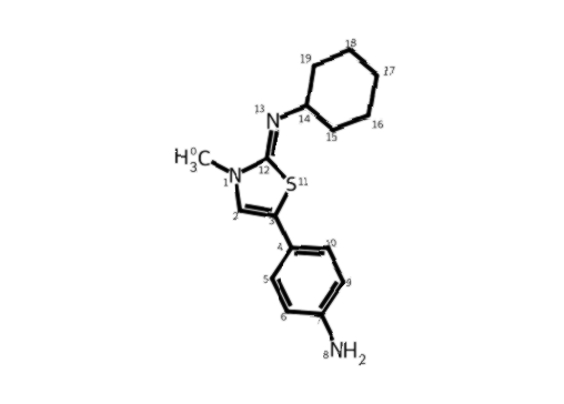 Cn1cc(-c2ccc(N)cc2)s/c1=N\C1CCCCC1